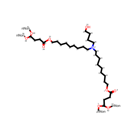 CCCCCCCCCOC(CCC(=O)OCCCCCCCCCN(CCCCO)CCCCCCCCCOC(=O)CCC(OCCCCCCCCC)OCCCCCCCCC)OCCCCCCCCC